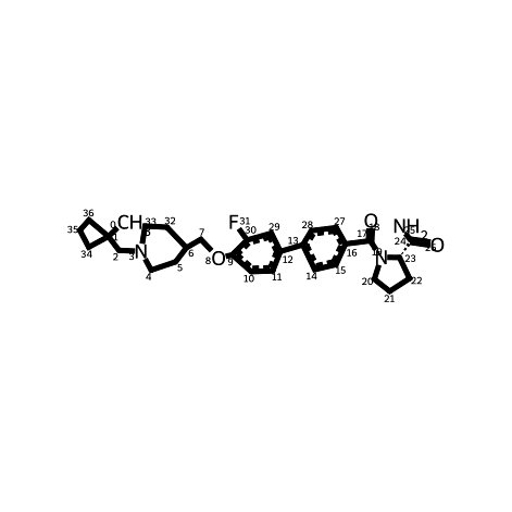 CC1(CN2CCC(COc3ccc(-c4ccc(C(=O)N5CCC[C@H]5C(N)=O)cc4)cc3F)CC2)CCC1